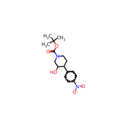 CC(C)(C)OC(=O)N1CCC(c2ccc([N+](=O)[O-])cc2)C(O)C1